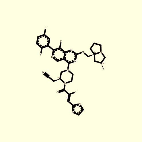 N#CC[C@H]1CN(c2nc(OC[C@@]34CCCN3C[C@H](F)C4)nc3c(F)c(-c4cc(F)ccc4F)ncc23)CCN1C(=O)/C(F)=C/c1nccs1